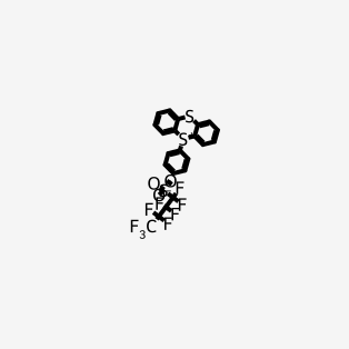 O=S(=O)([O-])C(F)(F)C(F)(F)C(F)(F)C(F)(F)F.c1ccc([S+]2c3ccccc3Sc3ccccc32)cc1